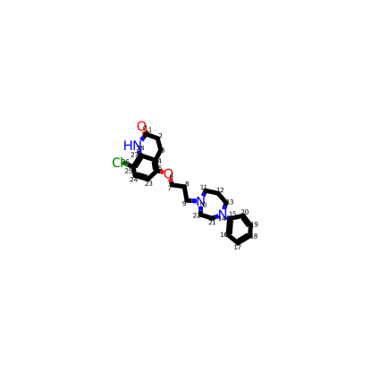 O=C1CCc2c(OCCCN3CCCN(c4ccccc4)CC3)ccc(Cl)c2N1